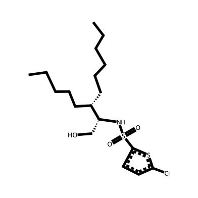 CCCCCC[C@@H](CCCCC)[C@@H](CO)NS(=O)(=O)c1ccc(Cl)s1